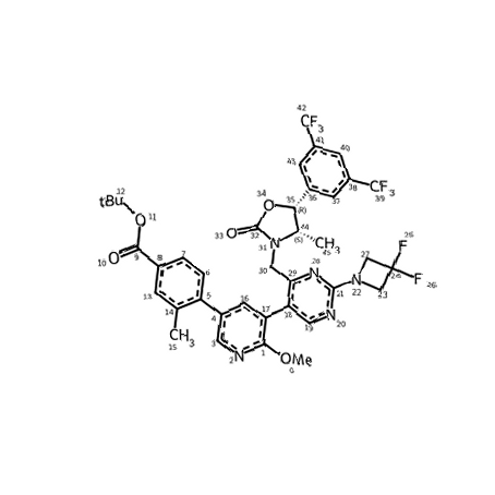 COc1ncc(-c2ccc(C(=O)OC(C)(C)C)cc2C)cc1-c1cnc(N2CC(F)(F)C2)nc1CN1C(=O)O[C@H](c2cc(C(F)(F)F)cc(C(F)(F)F)c2)[C@@H]1C